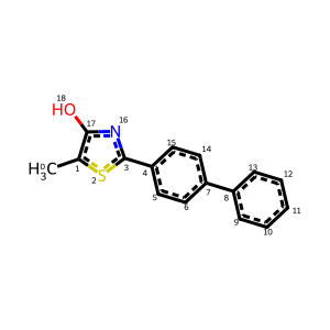 Cc1sc(-c2ccc(-c3ccccc3)cc2)nc1O